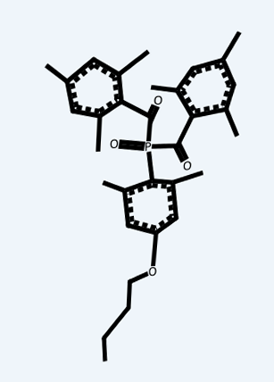 CCCCOc1cc(C)c(P(=O)(C(=O)c2c(C)cc(C)cc2C)C(=O)c2c(C)cc(C)cc2C)c(C)c1